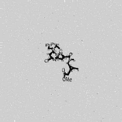 COC(=O)CC1C(C)C1CN(C)C(=O)c1cc2nc(Cl)cc(N(CC(C)C)C(C)C(C)C)n2n1